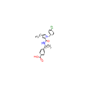 Cc1cc(C(=O)N[C@@H](C)c2ccc(C(=O)O)cc2)n(Cc2ccc(Cl)cc2)c1